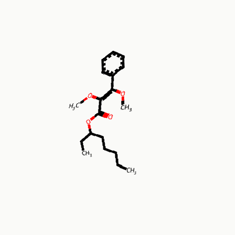 CCCCCC(CC)OC(=O)C(OC)=C(OC)c1ccccc1